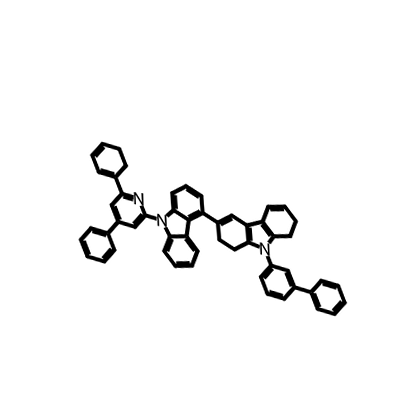 C1=CCCC(c2cc(-c3ccccc3)cc(-n3c4ccccc4c4c(C5=Cc6c7c(n(-c8cccc(-c9ccccc9)c8)c6CC5)CCC=C7)cccc43)n2)=C1